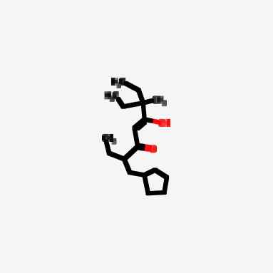 CCC(CC1CCCC1)C(=O)/C=C(\O)C(C)(CC)CC